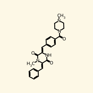 CN1CCN(C(=O)c2ccc(/C=c3\[nH]c(=O)/c(=C/c4ccccc4)n(C)c3=O)cc2)CC1